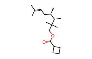 CC(C)=CC[C@@H](C)[C@@H](C)C(C)(C)COC(=O)C1CCC1